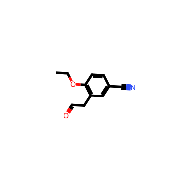 CCOc1ccc(C#N)cc1CC=O